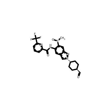 C[S+]([O-])c1cc2nn([C@H]3CC[C@H](C=O)CC3)cc2cc1NC(=O)c1cccc(C(F)(F)F)n1